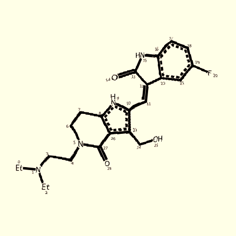 CCN(CC)CCN1CCc2[nH]c(/C=C3\C(=O)Nc4ccc(F)cc43)c(CO)c2C1=O